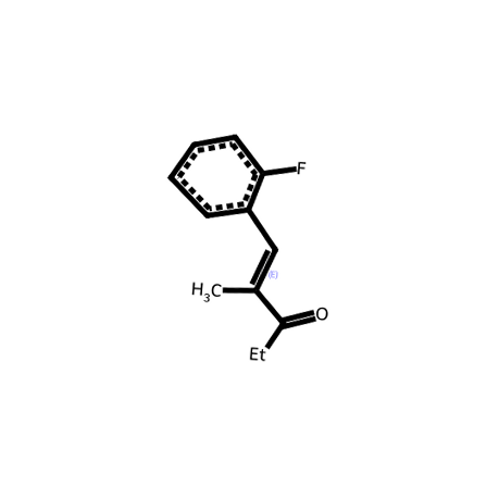 CCC(=O)/C(C)=C/c1ccccc1F